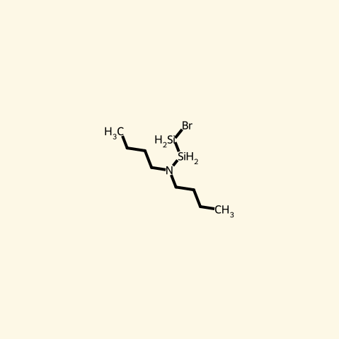 CCCCN(CCCC)[SiH2][SiH2]Br